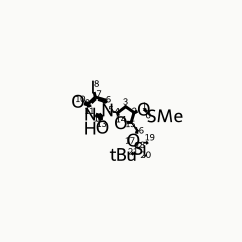 CSOC1C[C@H](n2cc(I)c(=O)[nH]c2=O)O[C@@H]1CO[Si](C)(C)C(C)(C)C